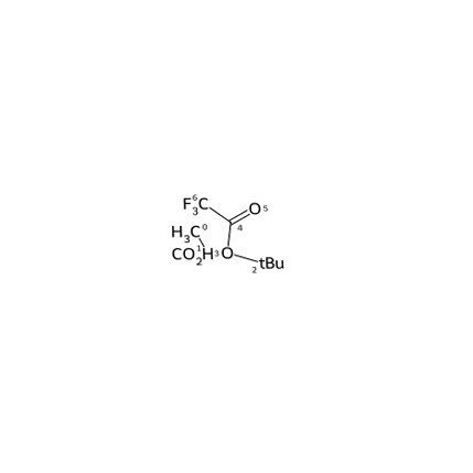 CC(=O)O.CC(C)(C)OC(=O)C(F)(F)F